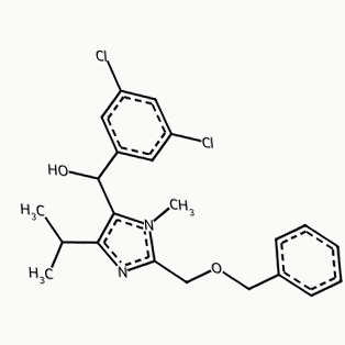 CC(C)c1nc(COCc2ccccc2)n(C)c1C(O)c1cc(Cl)cc(Cl)c1